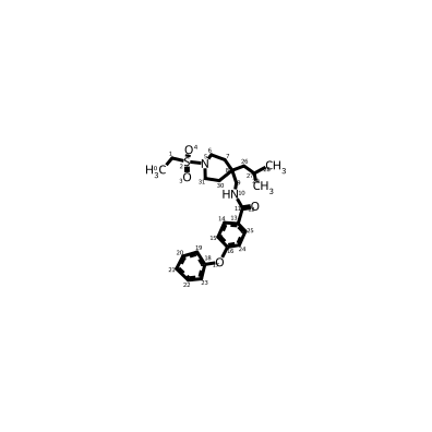 CCS(=O)(=O)N1CCC(CNC(=O)c2ccc(Oc3ccccc3)cc2)(CC(C)C)CC1